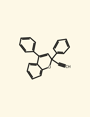 C#CC1(c2ccccc2)C=C(c2ccccc2)c2ccccc2O1